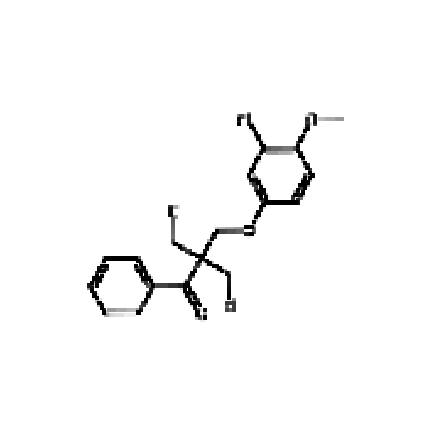 COc1ccc(OCC(CCl)(CCl)C(=O)c2ccccc2)cc1Cl